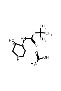 CC(C)(C)OC(=O)N[C@H]1CCNC[C@H]1O.NC(=O)O